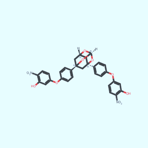 O=[N+]([O-])c1ccc(Oc2ccc([C@@]34C[C@@H]5C[C@@](c6ccc(Oc7ccc([N+](=O)[O-])c(O)c7)cc6)(C3)O[C@@H](O5)O4)cc2)cc1O